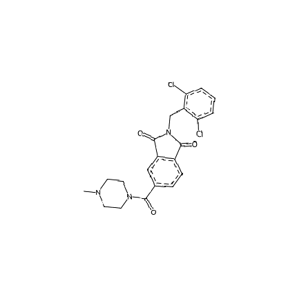 CN1CCN(C(=O)c2ccc3c(c2)C(=O)N(Cc2c(Cl)cccc2Cl)C3=O)CC1